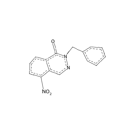 O=c1c2cccc([N+](=O)[O-])c2cnn1Cc1ccccc1